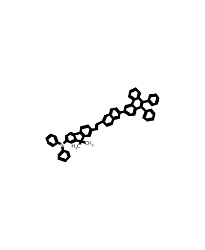 CC1(C)c2cc(/C=C/c3ccc4cc(-c5ccc6c(-c7ccccc7)c(-c7ccccc7)c7ccccc7c6c5)ccc4c3)ccc2-c2ccc(N(c3ccccc3)c3ccccc3)cc21